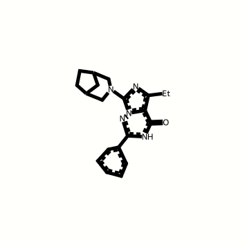 CCc1nc(N2CC3CCC(C3)C2)n2nc(-c3ccccc3)[nH]c(=O)c12